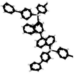 Cc1ccc(N(c2ccc(-c3ccccc3)cc2)c2cccc3c(-c4ccc(N(c5ccc(C)cc5)c5ccc(-c6ccccc6)cc5)c5ccccc45)cccc23)cc1